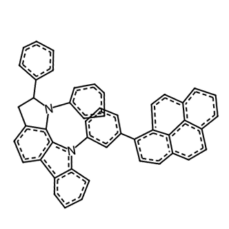 c1ccc(C2Cc3ccc4c5ccccc5n(-c5cccc(-c6ccc7ccc8cccc9ccc6c7c89)c5)c4c3N2c2ccccc2)cc1